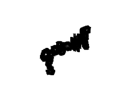 O=C(NOC1CCCCO1)c1cnc(N2CCN(S(=O)(=O)c3ccc(-c4ccccc4OCCN4CCCC4)cc3)CC2)nc1